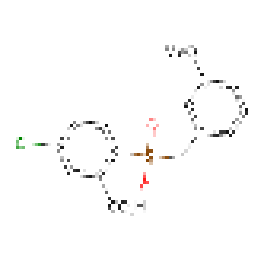 COc1cccc(CS(=O)(=O)c2ccc(Cl)cc2C(=O)O)c1